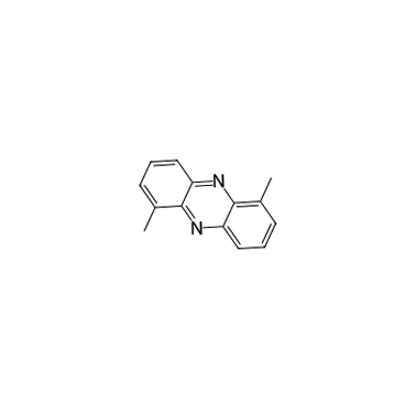 Cc1cccc2nc3c(C)cccc3nc12